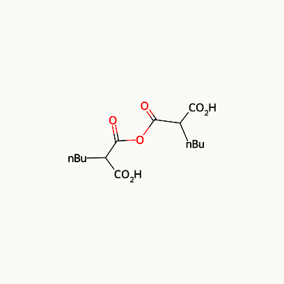 CCCCC(C(=O)O)C(=O)OC(=O)C(CCCC)C(=O)O